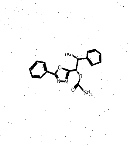 CC(C)(C)C(c1ccccc1)[C@@H](OC(N)=O)c1nnc(-c2ccccc2)o1